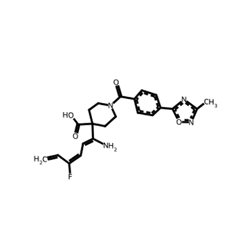 C=C/C(F)=C\C=C(/N)C1(C(=O)O)CCN(C(=O)c2ccc(-c3nc(C)no3)cc2)CC1